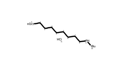 CCCCCCCCCCCCCCCCPC(C)(C)C.Cl